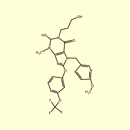 COc1ccc(Cn2c(Oc3cccc(OC(F)(F)F)c3)nc3c2C(=O)N(CCCO)C(O)N3C)cn1